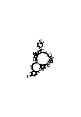 C[C@@H]1[C@@H](C)CCC[C@@](O)(CC(=O)N2CCN(C)CC2)[C@@H]2CC[C@H]2CN2CCCCc3cc(Cl)ccc3COc3ccc(cc32)C(=O)NS1(=O)=O